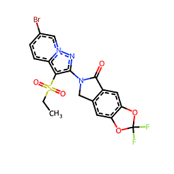 CCS(=O)(=O)c1c(N2Cc3cc4c(cc3C2=O)OC(F)(F)O4)nn2cc(Br)ccc12